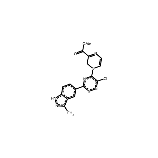 COC(=O)C1=NC=CN(c2nc(-c3ccc4[nH]nc(C)c4c3)nnc2Cl)C1